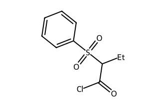 CCC(C(=O)Cl)S(=O)(=O)c1ccccc1